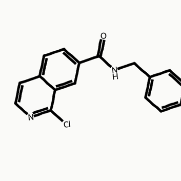 O=C(NCc1ccccc1)c1ccc2ccnc(Cl)c2c1